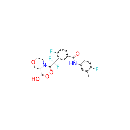 Cc1cc(NC(=O)c2ccc(F)c(C(F)(F)C(=O)N3CCOC[C@H]3C(=O)O)c2)ccc1F